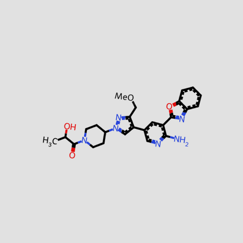 COCc1nn(C2CCN(C(=O)C(C)O)CC2)cc1-c1cnc(N)c(-c2nc3ccccc3o2)c1